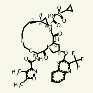 Cc1onc(C(=O)N[C@H]2CCCCC/C=C\[C@@H]3C[C@@]3(C(=O)NS(=O)(=O)C3CC3)NC(=O)[C@@H]3C[C@@H](Oc4nc5ccccc5nc4C(F)(F)F)CN3C2=O)c1C